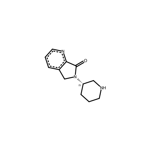 O=C1c2ncccc2CN1[C@H]1CCCNC1